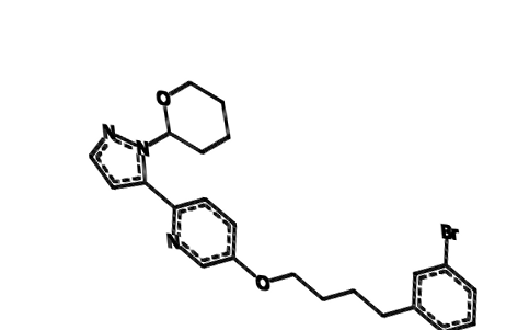 Brc1cccc(CCCCOc2ccc(-c3ccnn3C3CCCCO3)nc2)c1